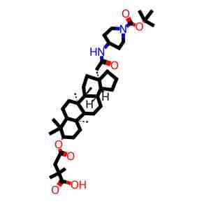 CC(C)(C)OC(=O)N1CCC(NC(=O)C[C@]23CCC[C@@H]2[C@H]2CCC4[C@@]5(C)CC[C@H](OC(=O)CC(C)(C)C(=O)O)C(C)(C)C5CC[C@@]4(C)[C@]2(C)CC3)CC1